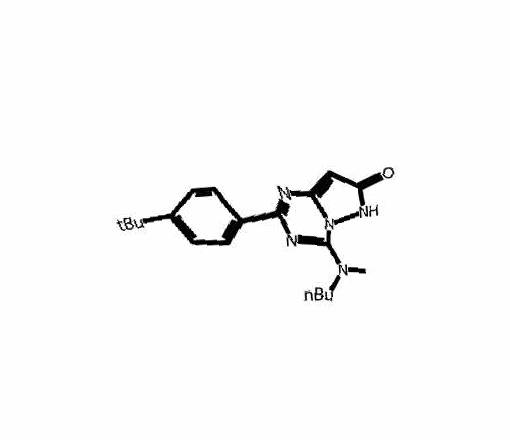 CCCCN(C)c1nc(-c2ccc(C(C)(C)C)cc2)nc2cc(=O)[nH]n12